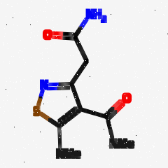 CNC(=O)c1c(CC(N)=O)nsc1NC